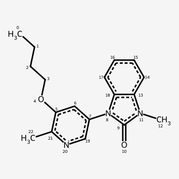 CCCCOc1cc(-n2c(=O)n(C)c3ccccc32)cnc1C